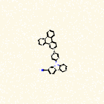 N#Cc1ccc2c3ccccc3n(-c3ccc(-c4ccc5c6ccccc6c6ccccc6c5c4)cc3)c2c1